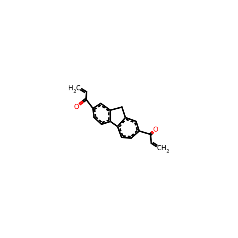 C=CC(=O)c1ccc2c(c1)Cc1cc(C(=O)C=C)ccc1-2